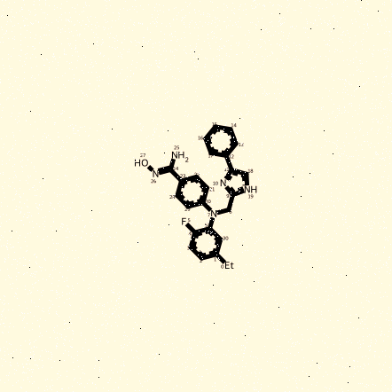 CCc1ccc(F)c(N(Cc2nc(-c3ccccc3)c[nH]2)c2ccc(C(N)=NO)cc2)c1